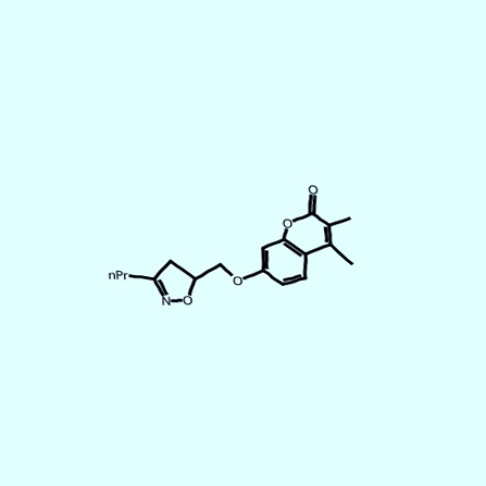 CCCC1=NOC(COc2ccc3c(C)c(C)c(=O)oc3c2)C1